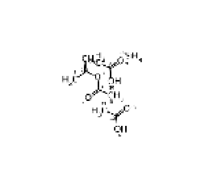 C=C(C)OC(C)=O.CC(=O)O.CC(=O)O.[SiH4]